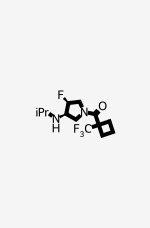 CC(C)N[C@@H]1CN(C(=O)C2(C(F)(F)F)CCC2)C[C@@H]1F